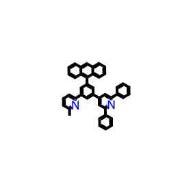 Cc1cccc(-c2cc(-c3cc(-c4ccccc4)nc(-c4ccccc4)c3)cc(-c3c4ccccc4cc4ccccc34)c2)n1